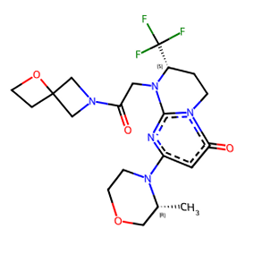 C[C@@H]1COCCN1c1cc(=O)n2c(n1)N(CC(=O)N1CC3(CCO3)C1)[C@H](C(F)(F)F)CC2